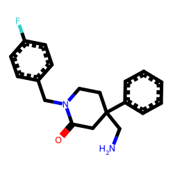 NCC1(c2ccccc2)CCN(Cc2ccc(F)cc2)C(=O)C1